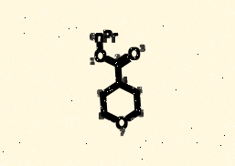 CCCOC(=O)C1CCOCC1